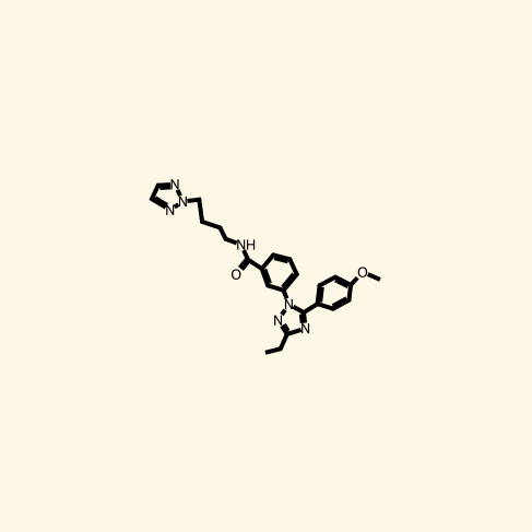 CCc1nc(-c2ccc(OC)cc2)n(-c2cccc(C(=O)NCCCCn3nccn3)c2)n1